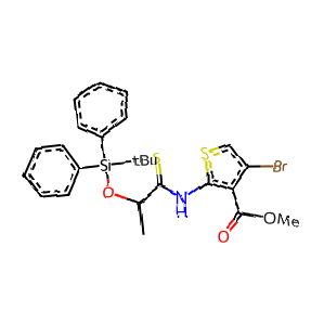 COC(=O)c1c(Br)csc1NC(=S)C(C)O[Si](c1ccccc1)(c1ccccc1)C(C)(C)C